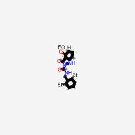 CCc1cccc(CC)c1CNC(=O)n1[nH]c2cccc(OC(=O)O)c2c1=O